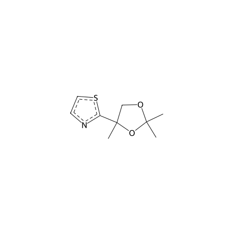 CC1(C)OCC(C)(c2nccs2)O1